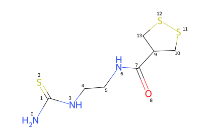 NC(=S)NCCNC(=O)C1CSSC1